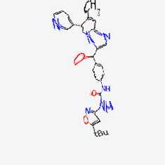 Cc1cc2ncc(C(=O)c3ccc(NC(=O)Nc4cc(C(C)(C)C)on4)cc3)n2cc1-c1cccnc1